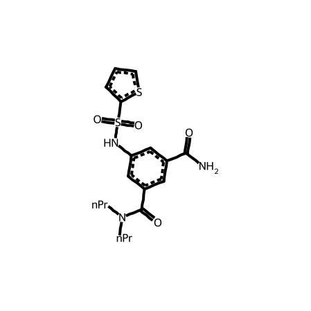 CCCN(CCC)C(=O)c1cc(NS(=O)(=O)c2cccs2)cc(C(N)=O)c1